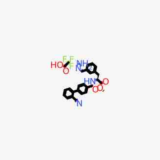 COC(=O)[C@H](Cc1cccc(/C=N\N)c1)NC(=O)c1ccc(-c2ccccc2C#N)cc1.O=C(O)C(F)(F)F